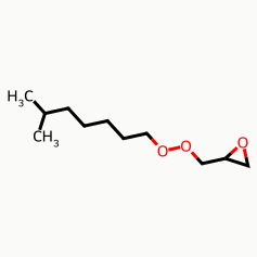 CC(C)CCCCCOOCC1CO1